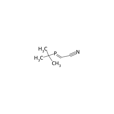 CC(C)(C)P=CC#N